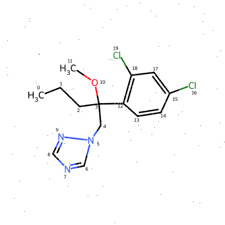 CCCC(Cn1cncn1)(OC)c1ccc(Cl)cc1Cl